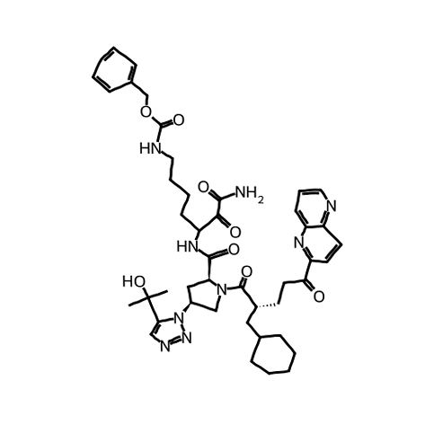 CC(C)(O)c1cnnn1[C@H]1C[C@@H](C(=O)NC(CCCCNC(=O)OCc2ccccc2)C(=O)C(N)=O)N(C(=O)[C@H](CCC(=O)c2ccc3ncccc3n2)CC2CCCCC2)C1